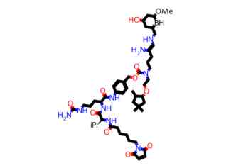 COC1BC(CN/C=C(\N)CCCN(CCOC2CC(C)(C)CC2C)C(=O)OCc2ccc(NC(=O)C(CCCNC(N)=O)NC(=O)[C@@H](NC(=O)CCCCCN3C(=O)C=CC3=O)C(C)C)cc2)CC(O)C1